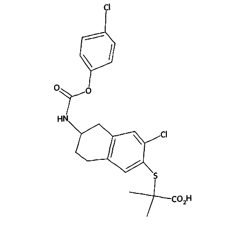 CC(C)(Sc1cc2c(cc1Cl)CC(NC(=O)Oc1ccc(Cl)cc1)CC2)C(=O)O